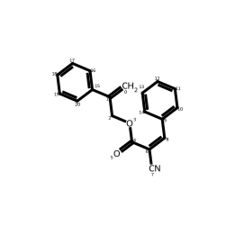 C=C(COC(=O)C(C#N)=Cc1ccccc1)c1ccccc1